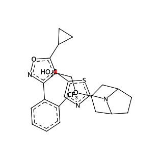 O=C(O)c1cnc(N2C3CCC2CC(OCc2c(-c4ccccc4C(F)(F)F)noc2C2CC2)C3)s1